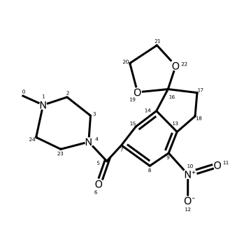 CN1CCN(C(=O)c2cc([N+](=O)[O-])c3c(c2)C2(CC3)OCCO2)CC1